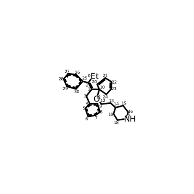 CCC(=C(Cc1ccccc1)C1(OCCC2CCNCC2)C=CC=CC1)c1ccccc1